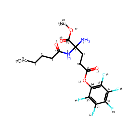 CCCCCCCCCCCCCC(=O)NC(N)(CCC(=O)Oc1c(F)c(F)c(F)c(F)c1F)C(=O)OC(C)(C)C